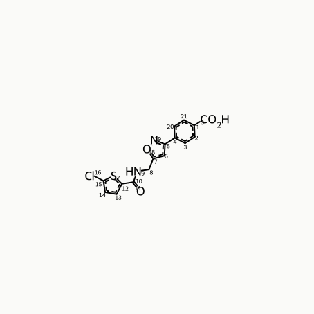 O=C(O)c1ccc(-c2cc(CNC(=O)c3ccc(Cl)s3)on2)cc1